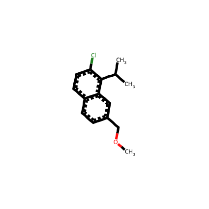 COCc1ccc2ccc(Cl)c(C(C)C)c2c1